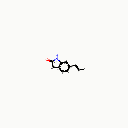 C/C=C/c1ccc2c(c1)NC(=O)C2